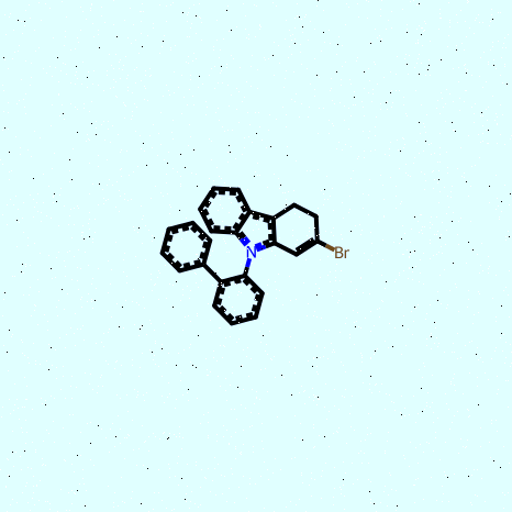 BrC1=Cc2c(c3ccccc3n2-c2ccccc2-c2ccccc2)CC1